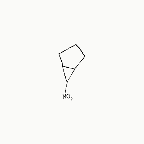 O=[N+]([O-])C1C2CCCC21